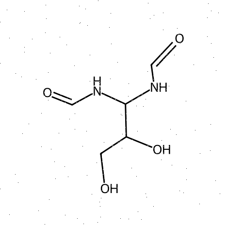 O=CNC(NC=O)C(O)CO